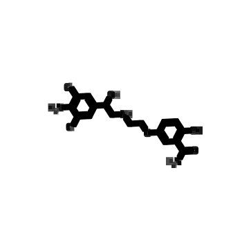 NC(=O)c1cc(OCCNCC(O)c2cc(Cl)c(N)c(Cl)c2)ccc1O